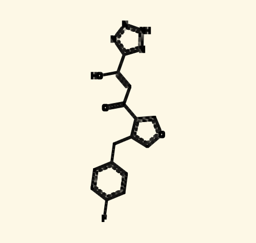 O=C(C=C(O)c1nn[nH]n1)c1cocc1Cc1ccc(F)cc1